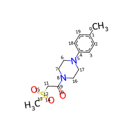 Cc1ccc(N2CCN(C(=O)CS(C)(=O)=O)CC2)cc1